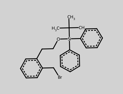 CC(C)(C)[Si](OCCc1ccccc1CBr)(c1ccccc1)c1ccccc1